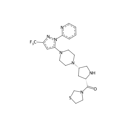 O=C([C@@H]1C[C@H](N2CCN(c3cc(C(F)(F)F)nn3-c3ccccn3)CC2)CN1)N1CCSC1